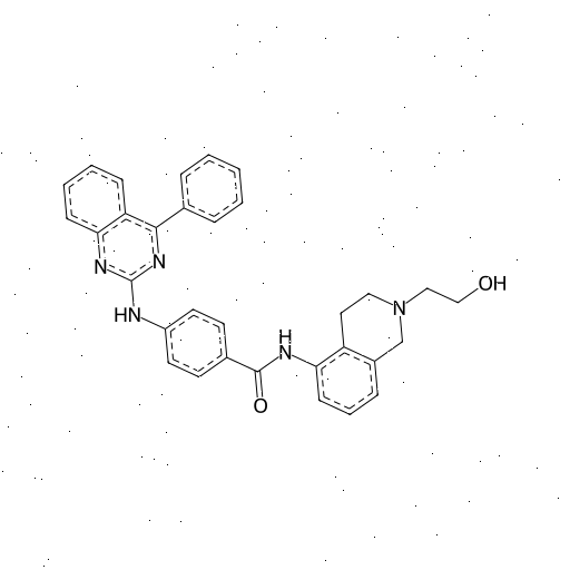 O=C(Nc1cccc2c1CCN(CCO)C2)c1ccc(Nc2nc(-c3ccccc3)c3ccccc3n2)cc1